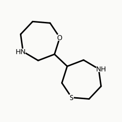 C1CNCC(C2CNCCSC2)OC1